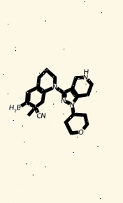 BC1=CC2=C(CC1(C)C#N)N(c1nn(C3CCOCC3)c3c1CNCC3)CCC2